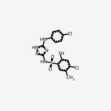 Cc1cc(S(=O)(=O)Nc2n[nH]c(Nc3ccc(Cl)cc3)n2)c(S)cc1Cl